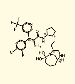 N[C@H](C(=O)N[C@H]1CCC[C@@H]1CC[C@H]1CN[C@@H]2CCCS(O)(O)N1C2)[C@H](c1cncc(C(F)(F)F)c1)c1ccc(Cl)c(F)c1